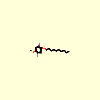 CCCCCCCCCCOc1cc(I)c(OC)cc1I